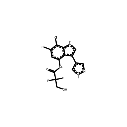 O=C(Nc1cc(Cl)c(Cl)c2[nH]cc(-c3cn[nH]c3)c12)C(F)(F)CO